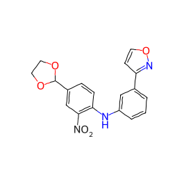 O=[N+]([O-])c1cc(C2OCCO2)ccc1Nc1cccc(-c2ccon2)c1